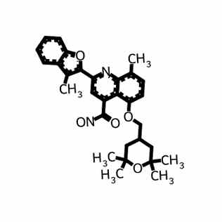 Cc1c(-c2cc(C(=O)N=O)c3c(OCC4CC(C)(C)OC(C)(C)C4)ccc(C)c3n2)oc2ccccc12